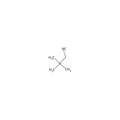 [C-]#[N+]C[Si](C)(C)C